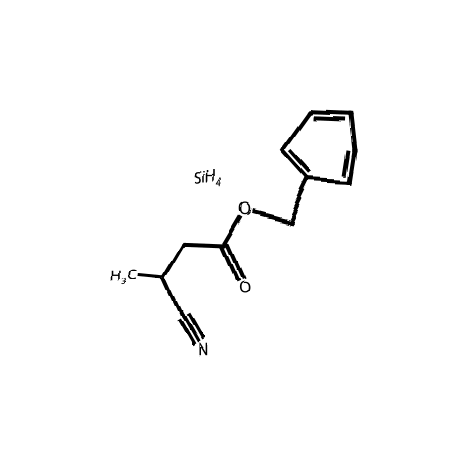 CC(C#N)CC(=O)OCc1ccccc1.[SiH4]